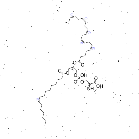 CC/C=C\C/C=C\C/C=C\C/C=C\C/C=C\CCCC(=O)O[C@H](COC(=O)CCCCCCC/C=C\CCCCCC)COP(=O)(O)OC[C@H](N)C(=O)O